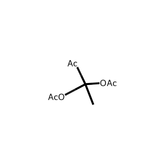 CC(=O)OC(C)(OC(C)=O)C(C)=O